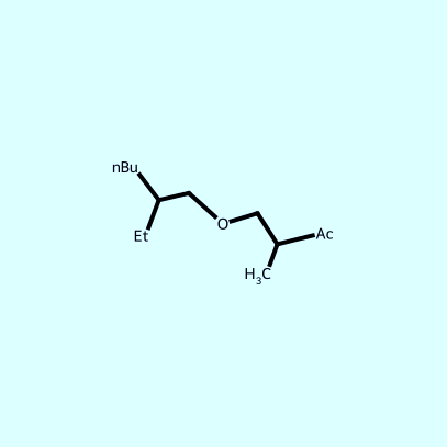 CCCCC(CC)COCC(C)C(C)=O